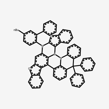 CCCCc1ccc(N2c3cc4oc5ccccc5c4c4c3B(c3c2oc2ccccc32)N2c3ccccc3C(c3ccccc3)(c3ccccc3)c3cccc-4c32)c(-c2ccccc2)c1